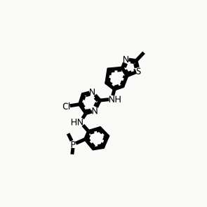 Cc1nc2ccc(Nc3ncc(Cl)c(Nc4ccccc4P(C)C)n3)cc2s1